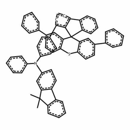 CC1(C)c2ccccc2-c2ccc(N(c3ccccc3)c3ccc(-c4cccc5c4C4(c6cc(-c7ccccc7)ccc6Sc6ccc(-c7ccccc7)cc64)c4ccccc4-5)cc3)cc21